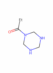 CCC(=O)N1CNCNC1